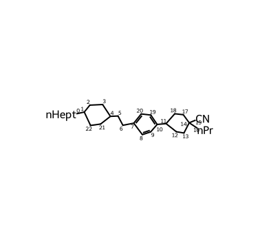 CCCCCCCC1CCC(CCc2ccc(C3CCC(C#N)(CCC)CC3)cc2)CC1